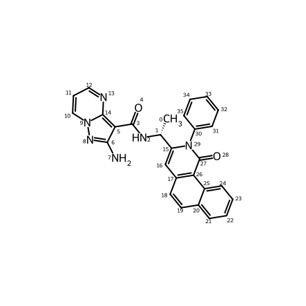 C[C@@H](NC(=O)c1c(N)nn2cccnc12)c1cc2ccc3ccccc3c2c(=O)n1-c1ccccc1